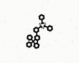 c1ccc(-c2nc(-c3ccccc3)nc(-c3cccc(-c4ccc5c(c4)C(c4ccccc4)(c4ccccc4)c4ccccc4-5)c3)n2)cc1